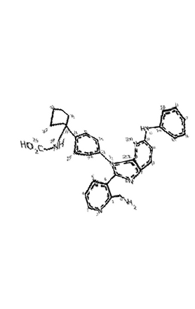 Nc1ncccc1-c1nc2ccc(Nc3ccccc3)nc2n1-c1ccc(C2(NC(=O)O)CCC2)cc1